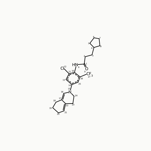 O=C(CCC1CCCC1)Nc1c(Cl)cc(N2C=C3CCCC=C3CC2)cc1C(F)(F)F